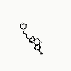 Brc1ccc2c(c1)OCc1nc(CCCN3CCOCC3)cn1-2